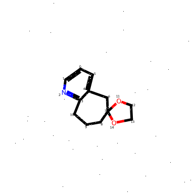 [c]1cnc2c(c1)CC1(CCC2)OCCO1